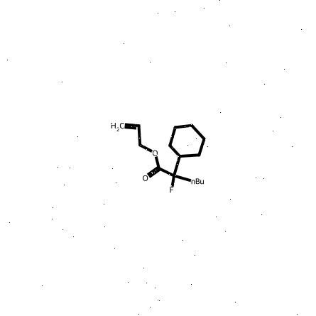 C=CCOC(=O)C(F)(CCCC)C1CCCCC1